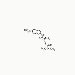 C/C=C(/C)C(N)C=C/C=C(\C)C(=O)NC1=CC2=CC=C(S(=O)(=O)O)C=CC2C=C1